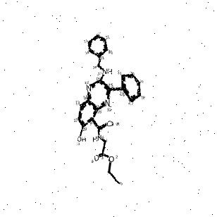 CCOC(=O)CNC(=O)c1c(O)ccc2nc(NCc3ccccc3)c(-c3ccccc3)nc12